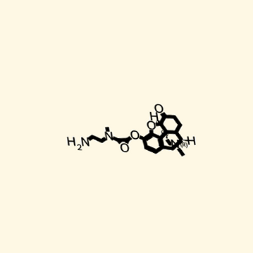 CN(CCN)C1OC1Oc1ccc2c3c1O[C@H]1C(=O)CCC4[C@@H](C2)N(C)CC[C@@]341